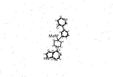 CNC1(c2cccc(-c3cnccc3C)c2)CCN(c2ncnc3[nH]ccc23)CC1